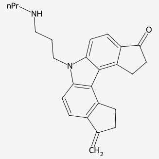 C=C1CCc2c1ccc1c2c2c3c(ccc2n1CCCNCCC)C(=O)CC3